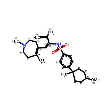 BC1(c2ccc(S(=O)(=O)N/C(=C/C3=C(C)CCN(C)CC3)C(=C)C)cc2)CCC(OC)CC1